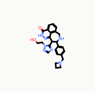 O=c1[nH]nc2c3c(cccc13)CNC(c1ccc(CN3CCC3)cc1)C2c1ncnn1CCO